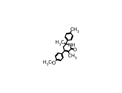 COc1ccc(C2=C(C)C(=O)NC(C)(c3ccc(C)cc3)C2)cc1